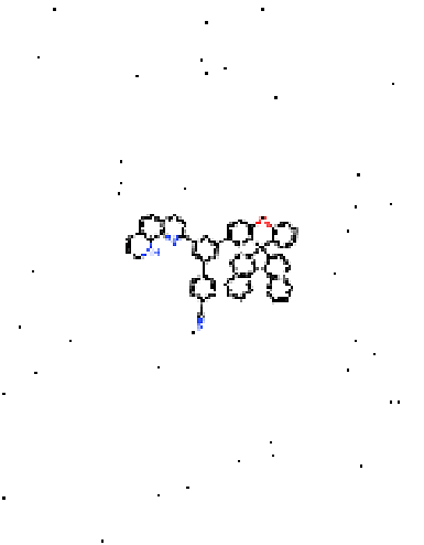 N#Cc1ccc(-c2cc(-c3ccc4c(c3)C(c3ccc5ccccc5c3)(c3ccc5ccccc5c3)c3ccccc3O4)cc(-c3ccc4ccc5c(c4n3)NCC=C5)c2)cc1